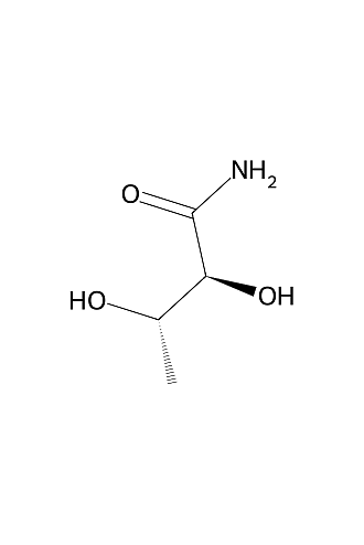 C[C@H](O)[C@H](O)C(N)=O